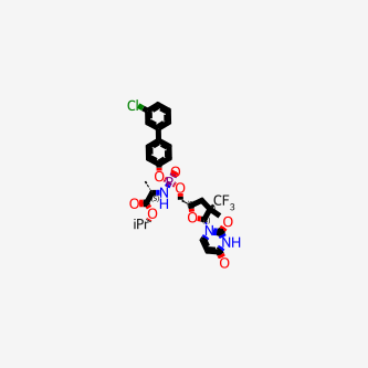 CC(C)OC(=O)[C@H](C)NP(=O)(OC[C@@H]1C[C@@](C)(C(F)(F)F)[C@H](n2ccc(=O)[nH]c2=O)O1)Oc1ccc(-c2cccc(Cl)c2)cc1